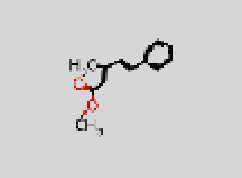 CCOC(=O)C=C(C)C=Cc1ccccc1